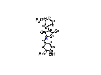 CC(=O)c1cc(/C=C2\SC(=S)N(c3cccc(C(F)(F)F)c3)C2=O)ccc1O